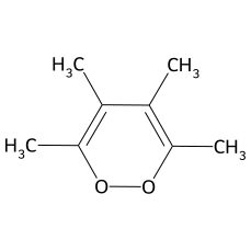 CC1=C(C)C(C)=C(C)OO1